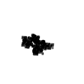 CC(C)C[C@H](NC(=O)[C@H](CCC(=O)O)NC(=O)CNC(=O)[C@H](CS)NC(=O)[C@@H](NC(=O)[C@@H](N)CC(C)C)C(C)C)C(=O)NCC(=O)N[C@@H](Cc1ccccc1)C(=O)N[C@@H](Cc1ccccc1)C(=O)N[C@@H](Cc1ccc(O)cc1)C(=O)N[C@H](C(=O)N1CCC[C@H]1C(=O)N[C@@H](CO)C(=O)N[C@H](C(=O)O)[C@@H](C)O)[C@@H](C)O